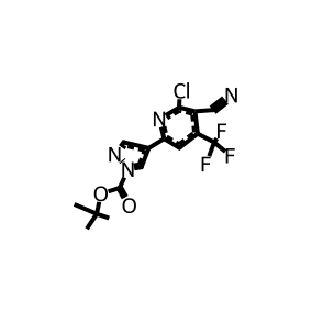 CC(C)(C)OC(=O)n1cc(-c2cc(C(F)(F)F)c(C#N)c(Cl)n2)cn1